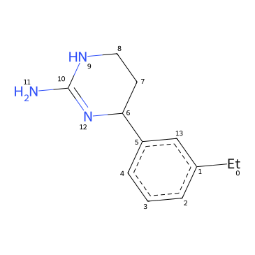 CCc1cccc(C2CCNC(N)=N2)c1